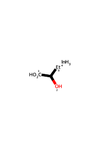 CCC(O)C(=O)O.[InH3]